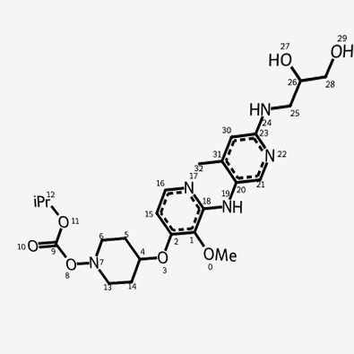 COc1c(OC2CCN(OC(=O)OC(C)C)CC2)ccnc1Nc1cnc(NCC(O)CO)cc1C